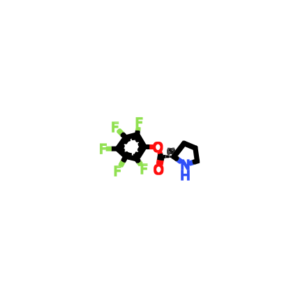 O=C(Oc1c(F)c(F)c(F)c(F)c1F)[C@@H]1CCCN1